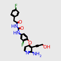 Nc1nccc(Oc2ccc(NC(=O)NC(=O)Cc3ccc(F)cc3)cc2F)c1C#CCO